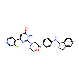 Cn1c(N2CCO[C@@H](c3ccc(NC4CCc5ccccc54)cc3)C2)nc(-c2ccncc2F)cc1=O